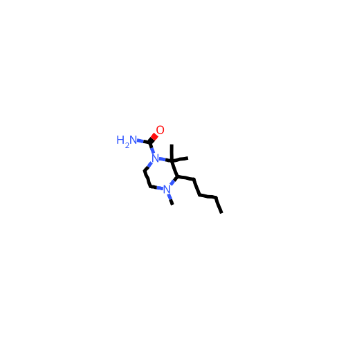 CCCCC1N(C)CCN(C(N)=O)C1(C)C